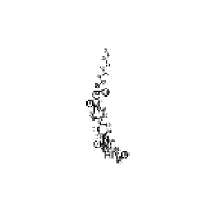 CCCCCCCCCC(=O)OCC(=O)N1CC=C(c2ccc(N3C[C@H](CNC(C)=O)OC3=O)cc2)CC1